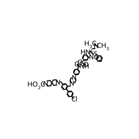 CN(C)CC[C@H](CSc1ccccc1)Nc1ccc(S(=O)(=O)NC(=O)c2ccc(N3CCN(Cc4cc(CN5CCC6(CC5)CCN(C(=O)O)CC6)ccc4-c4ccc(Cl)cc4)CC3)cc2)cc1[N+](=O)[O-]